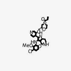 C=CC(=O)N1CCO[C@H](COc2cnccc2-c2[nH]c3c(c2Nc2cccc(Cl)c2OC)C(=O)NCC3)C1